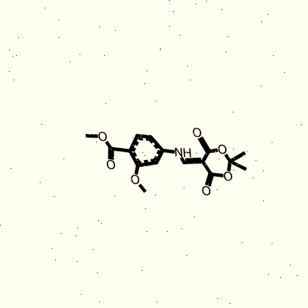 COC(=O)c1ccc(NC=C2C(=O)OC(C)(C)OC2=O)cc1OC